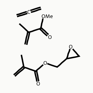 C=C(C)C(=O)OC.C=C(C)C(=O)OCC1CO1.C=C=C